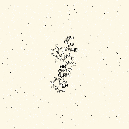 C=C[C@@H]1C[C@]1(NC(=O)[C@@H]1C[C@@]2(CN1C(=O)[C@@H](NC(=O)OC(C)(C)C)C(C)C)C(C)(C)C21CCC1)C(=O)NS(=O)(=O)c1cccc2cc[nH]c12